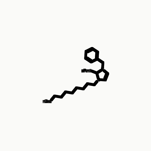 CCCCCCCCCCCCCCCCCCN1C=CN(Cc2ccccc2)C1CCCCC